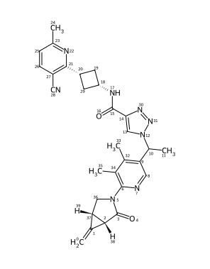 C=C1[C@H]2C(=O)N(c3ncc(C(C)n4cc(C(=O)N[C@H]5C[C@@H](c6nc(C)ccc6C#N)C5)nn4)c(C)c3C)C[C@@H]12